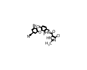 Cc1nc(Cl)c(C(=O)NCc2ccc(Cl)c(Oc3cc(Br)cc(C#N)c3)c2F)[nH]1